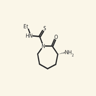 CCNC(=S)N1CCCC[C@@H](N)C1=O